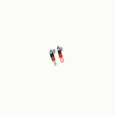 [O]=[Ag].[S]=[Ag]